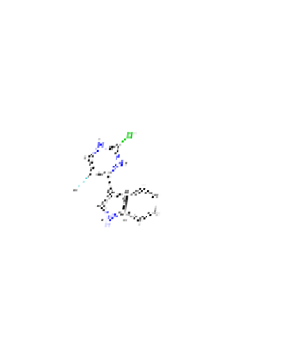 Fc1cnc(Cl)nc1-c1c[nH]c2ccccc12